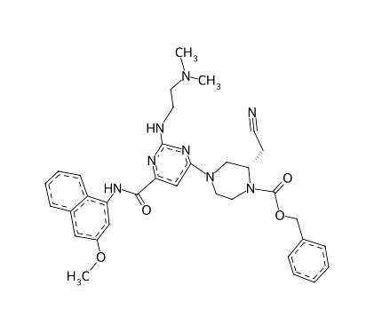 COc1cc(NC(=O)c2cc(N3CCN(C(=O)OCc4ccccc4)[C@@H](CC#N)C3)nc(NCCN(C)C)n2)c2ccccc2c1